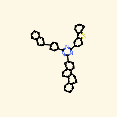 c1ccc2cc(-c3ccc(-c4nc(-c5ccc6c(ccc7c8ccccc8ccc67)c5)nc(-c5ccc6sc7ccccc7c6c5)n4)cc3)ccc2c1